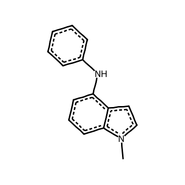 Cn1ccc2c(Nc3ccccc3)cccc21